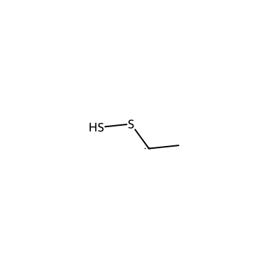 C[CH]SS